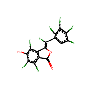 O=C1OC(=C(F)c2cc(F)c(F)c(F)c2F)c2c(F)c(O)c(F)c(F)c21